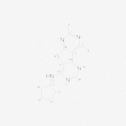 Cc1nc(C)c2c(n1)sc1c(NC3CCCC3)ncnc12